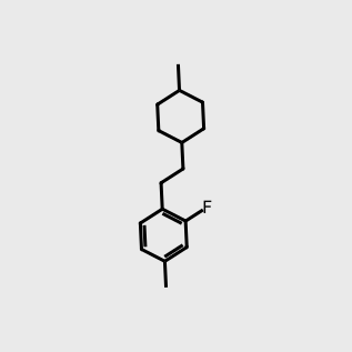 Cc1ccc(CCC2CCC(C)CC2)c(F)c1